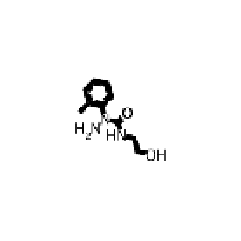 Cc1ccccc1N(N)C(=O)NCCO